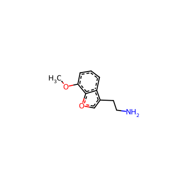 COc1cccc2c(CCN)coc12